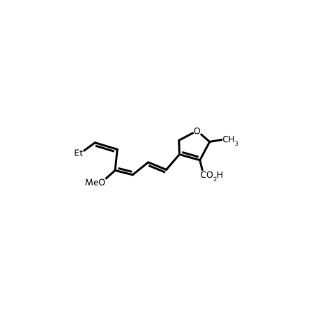 CC\C=C/C(=C\C=C\C1=C(C(=O)O)C(C)OC1)OC